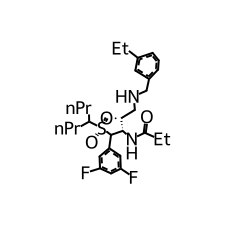 CCCC(CCC)S(=O)(=O)C(c1cc(F)cc(F)c1)[C@H]([CH]CNCc1cccc(CC)c1)NC(=O)CC